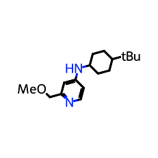 COCc1cc(NC2CCC(C(C)(C)C)CC2)ccn1